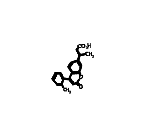 Cc1ccccc1-c1cc(=O)oc2cc(C(C)CC(=O)O)ccc12